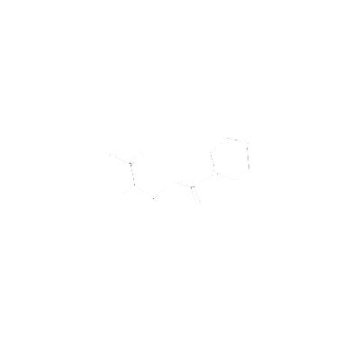 CC(COC(=O)N1CCNCC1)C(N)=O